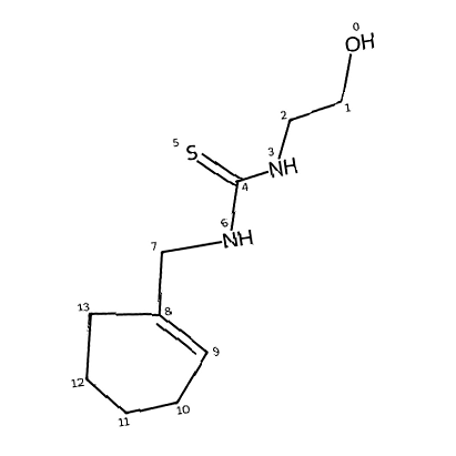 OCCNC(=S)NCC1=CCCCC1